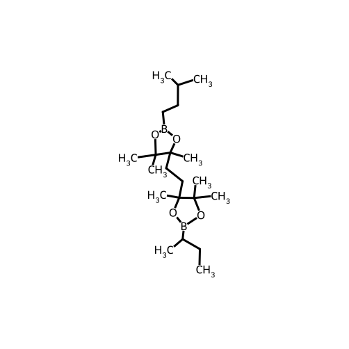 CCC(C)B1OC(C)(C)C(C)(CCC2(C)OB(CCC(C)C)OC2(C)C)O1